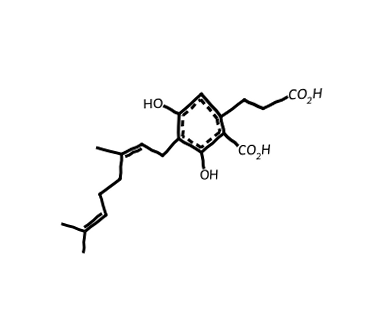 CC(C)=CCCC(C)=CCc1c(O)cc(CCC(=O)O)c(C(=O)O)c1O